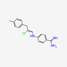 Cc1ccc(CC(Cl)=CNc2ccc(C(=N)N)cc2)cc1